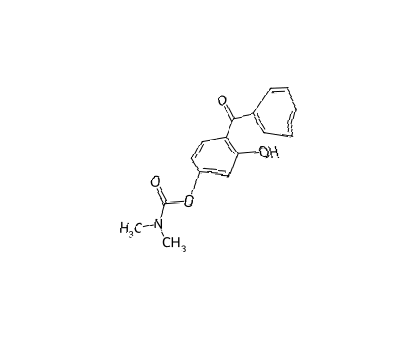 CN(C)C(=O)Oc1ccc(C(=O)c2ccccc2)c(O)c1